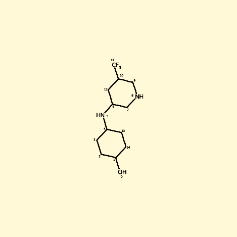 OC1CCC(NC2CNCC(C(F)(F)F)C2)CC1